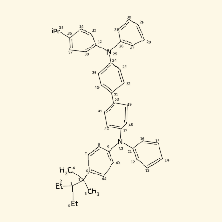 CCC(CC)C(C)(C)c1ccc(N(c2ccccc2)c2ccc(-c3ccc(N(c4ccccc4)c4ccc(C(C)C)cc4)cc3)cc2)cc1